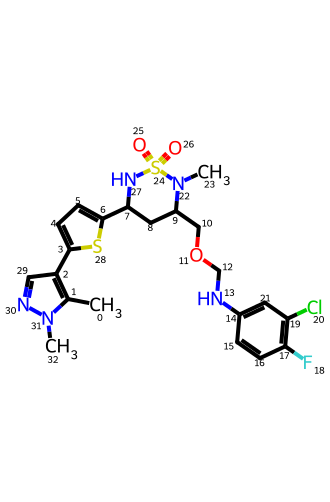 Cc1c(-c2ccc(C3CC(COCNc4ccc(F)c(Cl)c4)N(C)S(=O)(=O)N3)s2)cnn1C